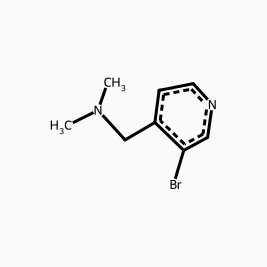 CN(C)Cc1ccncc1Br